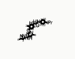 Cc1cc(Nc2cc(C)nc(Oc3ccc(NC(=O)Nc4ccc(C(C)C)cc4)cc3C)n2)[nH]n1